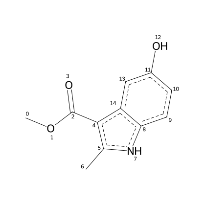 COC(=O)c1c(C)[nH]c2ccc(O)cc12